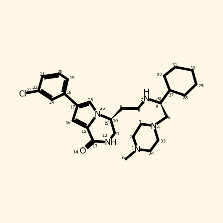 CN1CCN(C[C@@H](NCC[C@H]2CNC(=O)c3cc(-c4cccc(Cl)c4)cn32)C2CCCCC2)CC1